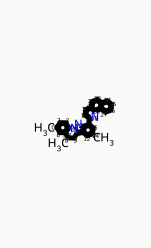 Cc1ccc2c(c1)C(C)Cc1c3cc(C)cc(-c4ccc5ccc6ccccc6c5n4)c3nn1-2